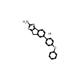 I.Nc1nc2c(s1)Cc1cc(-c3ccc(Oc4ccccc4)cc3)ccc1-2